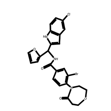 O=C(NC(c1cc2cc(Cl)ccc2[nH]1)c1ccco1)c1ccc(N2CCOCCC2=O)c(Br)c1